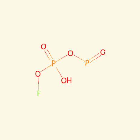 O=POP(=O)(O)OF